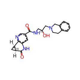 O=C(NC[C@H](O)CN1CCc2ccccc2C1)c1cnc2c(c1)NC(=O)[C@H]1C[C@@H]21